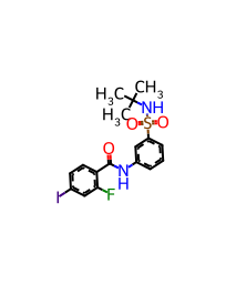 CC(C)(C)NS(=O)(=O)c1cccc(NC(=O)c2ccc(I)cc2F)c1